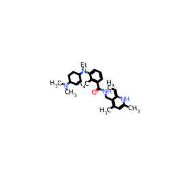 C/C=C1/NC(C)=CC(C)=C1CNC(=O)c1cccc(N(CC)C2CCC(N(C)C)CC2)c1C